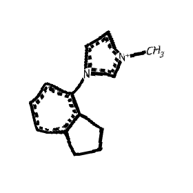 C[n+]1ccn(-c2cccc3c2CCC3)c1